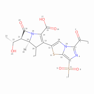 CC(=O)c1nc(S(C)(=O)=O)c2sc(C3=C(C(=O)O)N4C(=O)[C@H]([C@@H](C)O)[C@@H]4C3C)cn12